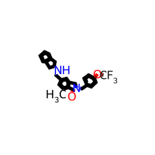 Cc1cc(CNC2Cc3ccccc3C2)cc2c1C(=O)N(Cc1ccc(OC(F)(F)F)cc1)C2